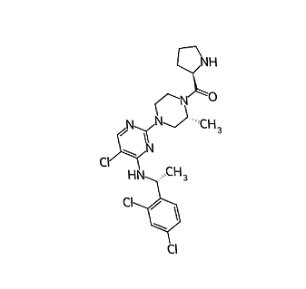 C[C@@H]1CN(c2ncc(Cl)c(N[C@H](C)c3ccc(Cl)cc3Cl)n2)CCN1C(=O)[C@H]1CCCN1